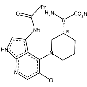 CC(C)C(=O)Nc1c[nH]c2ncc(Cl)c(N3CCC[C@@H](N(N)C(=O)O)C3)c12